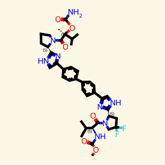 COC(=O)N[C@H](C(=O)N1CC(F)(F)C[C@H]1c1nc(-c2ccc(-c3ccc(-c4c[nH]c([C@@H]5CCCN5C(=O)[C@@](C)(OC(N)=O)C(C)C)n4)cc3)cc2)c[nH]1)C(C)C